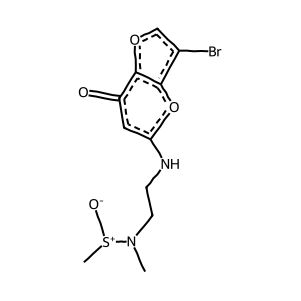 CN(CCNc1cc(=O)c2occ(Br)c2o1)[S+](C)[O-]